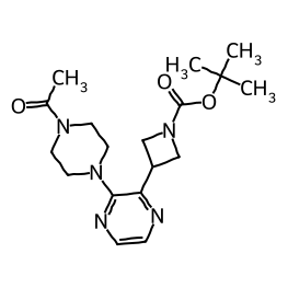 CC(=O)N1CCN(c2nccnc2C2CN(C(=O)OC(C)(C)C)C2)CC1